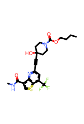 CCCCOC(=O)N1CCC(O)(C#Cc2cc(C(F)(F)F)c3scc(C(=O)NC)c3n2)CC1